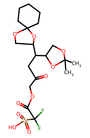 CC1(C)OCC(C(CC(=O)COC(=O)C(F)(F)S(=O)(=O)O)C2COC3(CCCCC3)O2)O1